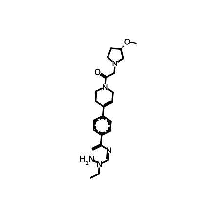 C=C(/N=C\N(N)CC)c1ccc(C2=CCN(C(=O)CN3CC[C@H](OC)C3)CC2)cc1